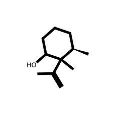 C=C(C)C1(C)C(O)CCC[C@H]1C